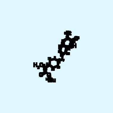 CCc1cc2ncc(CN3CCC(N(C)C(=O)OC(C)(C)C)CC3)cc2[nH]c1=O